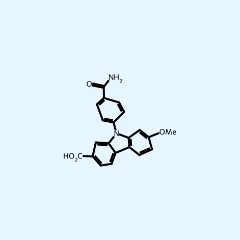 COc1ccc2c3ccc(C(=O)O)cc3n(-c3ccc(C(N)=O)cc3)c2c1